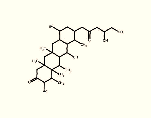 CC(=O)C1C(=O)CC2(C)CC3(C)CC4C(C(C)C)CC(CC(=O)CC(O)CO)C(C)C4C(O)C3C(C)C2(C)C1C